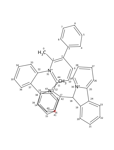 Cc1c(-c2ccccc2)ccc(-c2ccccc2C2c3ccccc3-c3cccc[n+]32)[n+]1-c1ccccc1-c1cccc[n+]1C